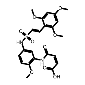 COc1cc(OC)c(/C=C/S(=O)(=O)Nc2ccc(OC)c(NC(=O)/C=C\C(=O)O)c2)c(OC)c1